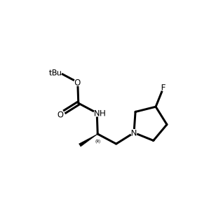 C[C@H](CN1CCC(F)C1)NC(=O)OC(C)(C)C